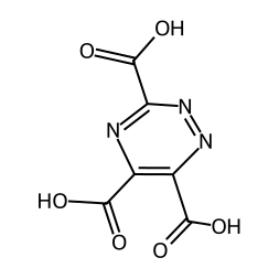 O=C(O)c1nnc(C(=O)O)c(C(=O)O)n1